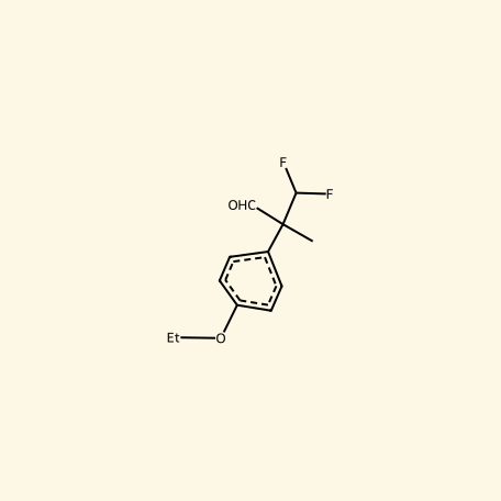 CCOc1ccc(C(C)(C=O)C(F)F)cc1